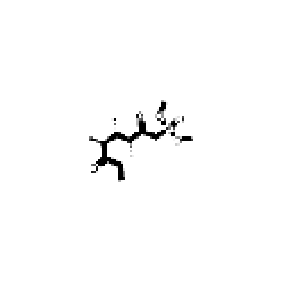 CCC(=O)[C@@H](C)[C@H](C)[C@@H](C)C(=O)CP(=O)(OC)OC